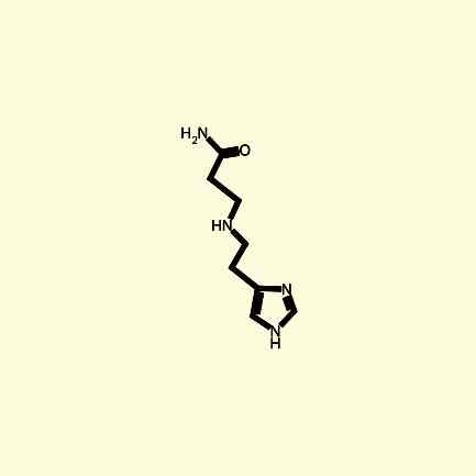 NC(=O)CCNCCc1c[nH]cn1